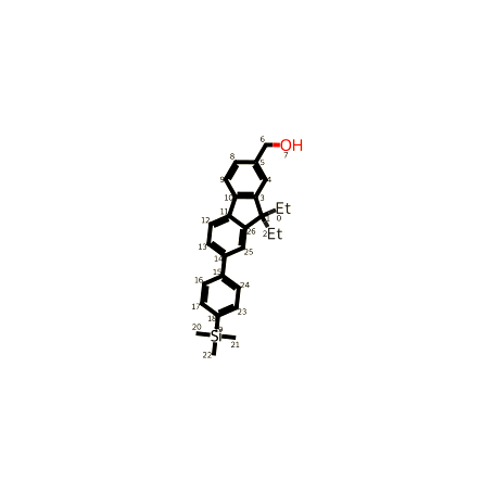 CCC1(CC)c2cc(CO)ccc2-c2ccc(-c3ccc([Si](C)(C)C)cc3)cc21